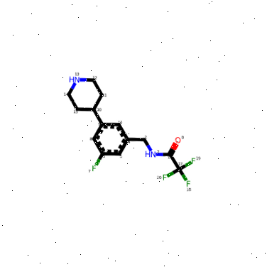 O=C(NCc1cc(F)cc(C2CCNCC2)c1)C(F)(F)F